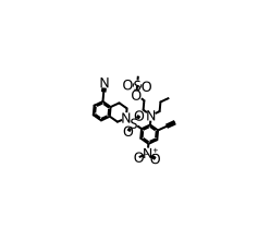 C#Cc1cc([N+](=O)[O-])cc(S(=O)(=O)N2CCc3c(C#N)cccc3C2)c1N(CCC)CCOS(C)(=O)=O